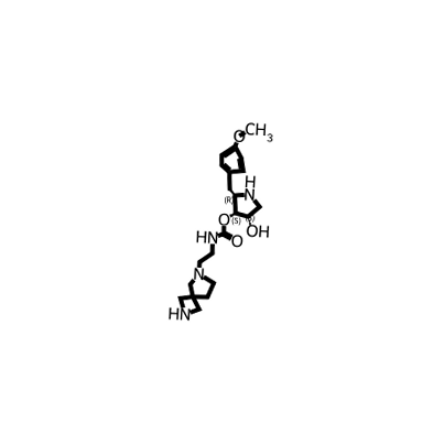 COc1ccc(C[C@H]2NC[C@H](O)[C@H]2OC(=O)NCCN2CCC3(CNC3)C2)cc1